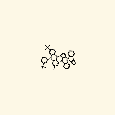 Cc1cc2c3c(c1)N1c4ccccc4[Si]4(c5ccccc5-c5ccccc54)c4cccc(c41)B3c1ccc(C(C)(C)C)cc1N2c1cccc(C(C)(C)C)c1